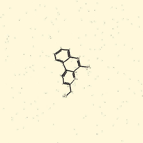 Nc1nc2ccccc2c2ccc(CO)nc12